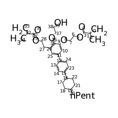 C=C(C)C(=O)OCCOc1cc(-c2ccc(C3CCC(CCCCC)CC3)cc2)cc(CCOC(=O)C(=C)C)c1OCCO